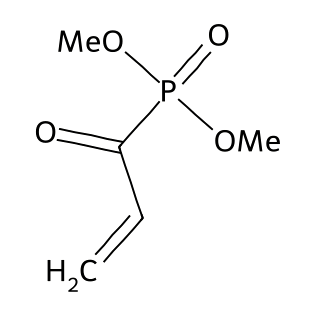 C=CC(=O)P(=O)(OC)OC